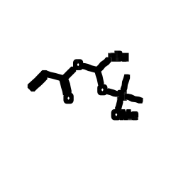 C=CC(=O)OC(CCCC)O[Si](C)(C)OC